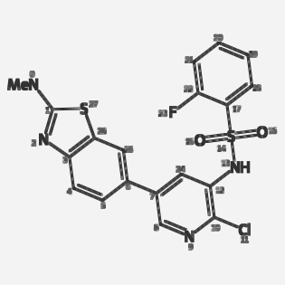 CNc1nc2ccc(-c3cnc(Cl)c(NS(=O)(=O)c4ccccc4F)c3)cc2s1